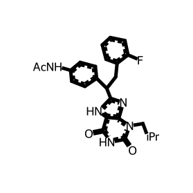 CC(=O)Nc1ccc(C(Cc2ccccc2F)c2nc3c([nH]2)c(=O)[nH]c(=O)n3CC(C)C)cc1